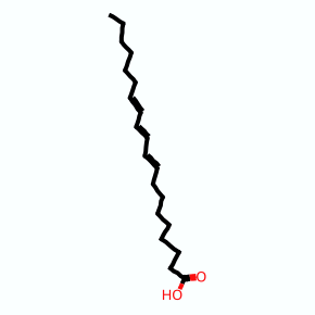 CCCCCCC=CC=CC=CCCCCCCCC(=O)O